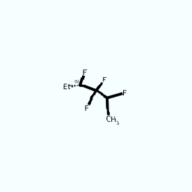 [CH2]C[C@H](F)C(F)(F)C(C)F